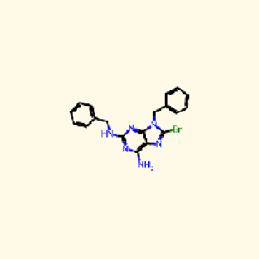 Nc1nc(NCc2ccccc2)nc2c1nc(Br)n2Cc1ccccc1